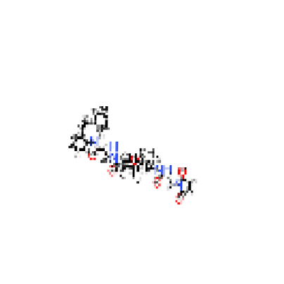 CC(C)(CCNC(=O)CCN1C(=O)C=CC1=O)OCC(C)(C)C(=O)NCCC(=O)N1Cc2ccccc2C#Cc2ccccc21